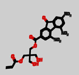 C=CC(=O)OCC(CO)(CO)COC(=O)c1cc2c(c([N+](=O)[O-])c1)-c1c(cc([N+](=O)[O-])cc1[N+](=O)[O-])C2=O